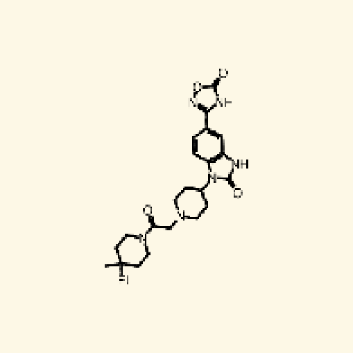 CCC1(C)CCN(C(=O)CN2CCC(n3c(=O)[nH]c4cc(-c5noc(=O)[nH]5)ccc43)CC2)CC1